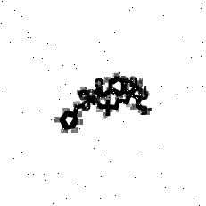 [2H]C([2H])([2H])C(CCCC(C)(C)CN(C)C(=O)OCc1ccccc1)(C(=O)CBr)c1cccc(CC(=O)OCC)c1